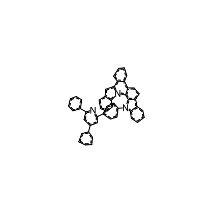 c1ccc(-c2cc(-c3ccccc3)nc(-c3ccc(-n4c5ccccc5c5ccc6c7ccccc7c7cc8ccccc8n7c6c54)cc3)c2)cc1